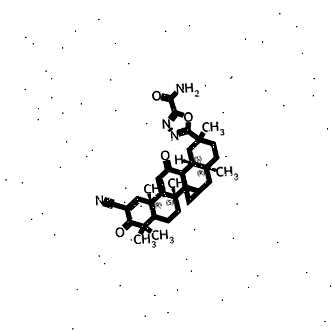 CC1(c2nnc(C(N)=O)o2)CC[C@]2(C)CC3CC34C(C(=O)C=C3[C@@]5(C)C=C(C#N)C(=O)C(C)(C)C5CC[C@]34C)[C@@H]2C1